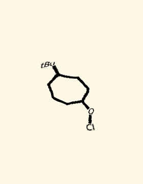 CC(C)(C)C1CCCC(OCl)CC1